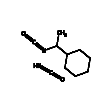 CC(N=C=O)C1CCCCC1.N=C=O